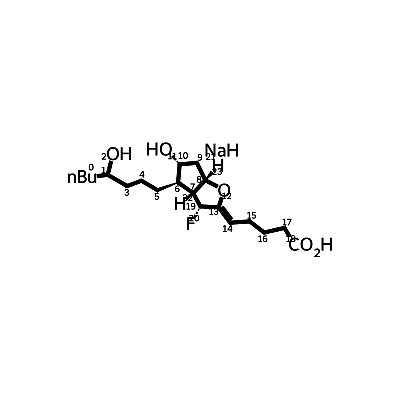 CCCCC(O)CCC[C@@H]1[C@@H]2[C@H](C[C@H]1O)O/C(=C\CCCC(=O)O)[C@@H]2F.[NaH]